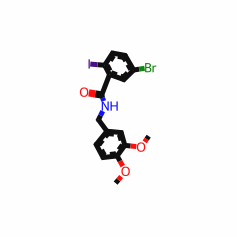 COc1ccc(CNC(=O)c2cc(Br)ccc2I)cc1OC